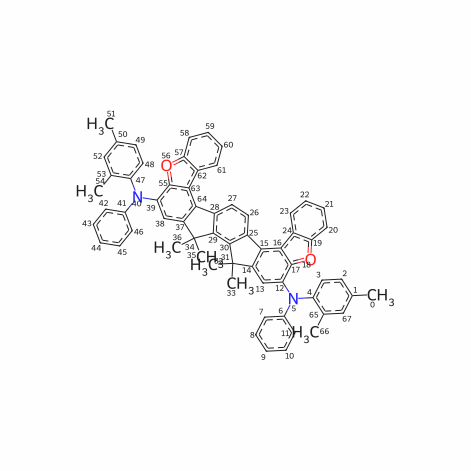 Cc1ccc(N(c2ccccc2)c2cc3c(c4c2oc2ccccc24)-c2ccc4c(c2C3(C)C)C(C)(C)c2cc(N(c3ccccc3)c3ccc(C)cc3C)c3oc5ccccc5c3c2-4)c(C)c1